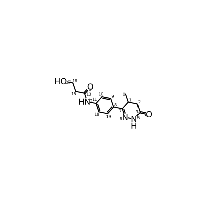 CC1CC(=O)NN=C1c1ccc(NC(=O)CCO)cc1